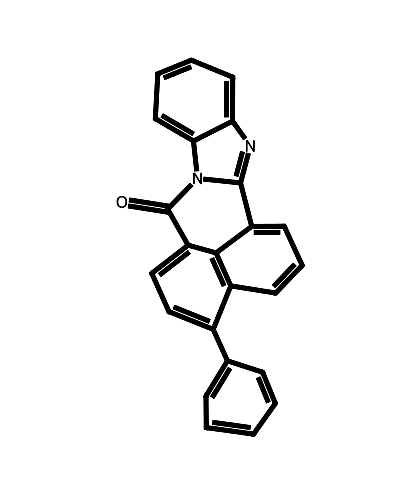 O=c1c2ccc(-c3ccccc3)c3cccc(c32)c2nc3ccccc3n12